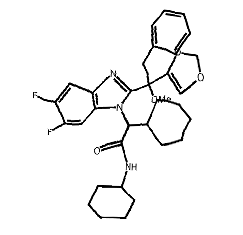 COC(Cc1ccccc1)(C1=COCO1)c1nc2cc(F)c(F)cc2n1C(C(=O)NC1CCCCC1)C1CCCCC1